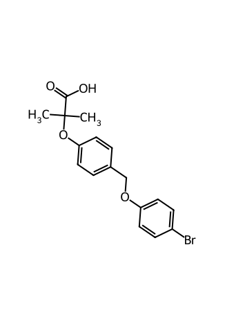 CC(C)(Oc1ccc(COc2ccc(Br)cc2)cc1)C(=O)O